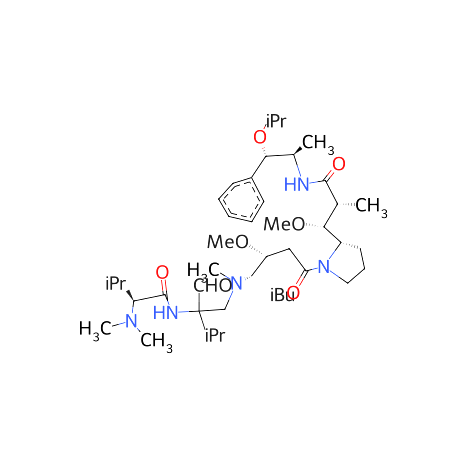 CC[C@H](C)[C@@H]([C@@H](CC(=O)N1CCC[C@H]1[C@H](OC)[C@@H](C)C(=O)N[C@H](C)[C@@H](OC(C)C)c1ccccc1)OC)N(C)CC(C=O)(NC(=O)[C@H](C(C)C)N(C)C)C(C)C